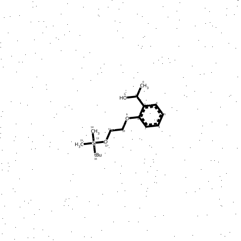 CC(O)c1ccccc1OCCO[Si](C)(C)C(C)(C)C